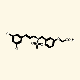 CS(=O)(=O)N(C/C=C/c1cc(Cl)cc(Cl)c1)Cc1cccc(OCC(=O)O)c1